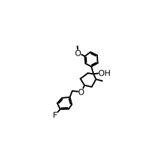 COc1cccc(C2(O)CCC(OCc3ccc(F)cc3)CC2C)c1